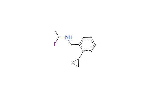 CC(I)NCc1ccccc1C1CC1